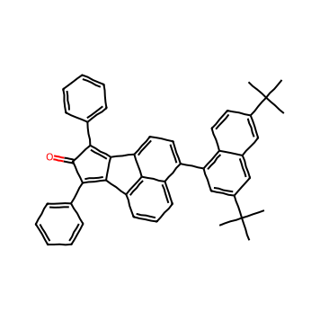 CC(C)(C)c1ccc2c(-c3ccc4c5c(cccc35)C3=C(c5ccccc5)C(=O)C(c5ccccc5)=C34)cc(C(C)(C)C)cc2c1